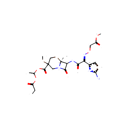 CCC(=O)OC(C)OC(=O)C1(SC)CS[C@@H]2C(NC(=O)C(=NOCC(=O)OC)c3csc(N)n3)C(=O)N2C1